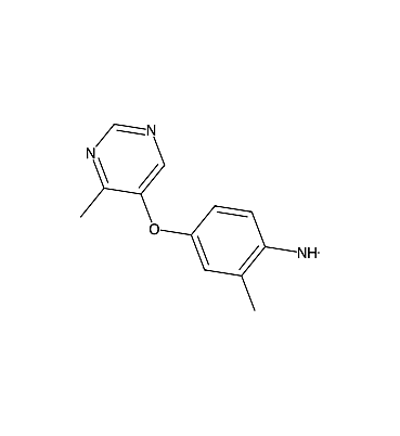 Cc1cc(Oc2cncnc2C)ccc1[NH]